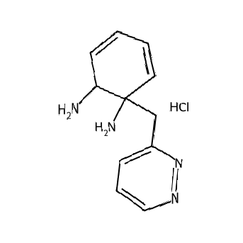 Cl.NC1C=CC=CC1(N)Cc1cccnn1